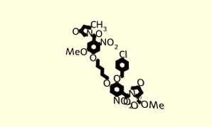 COC(=O)[C@@H]1CC(=O)CN1C(=O)c1cc(OCc2ccc(Cl)cc2)c(OCCCCCOc2cc([N+](=O)[O-])c(C(=O)N3CC(=O)C[C@H]3C)cc2OC)cc1[N+](=O)[O-]